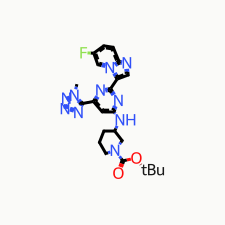 Cn1nnnc1-c1cc(NC2CCCN(C(=O)OC(C)(C)C)C2)nc(-c2cnc3ccc(F)cn23)n1